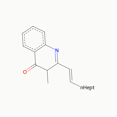 CCCCCCCC=CC1=Nc2ccccc2C(=O)C1C